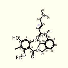 CCOc1c(C)c(O)cc(O)c1C(=O)N1Cc2cccc(N(C)C(=O)/C=C/CN(C)C)c2C1